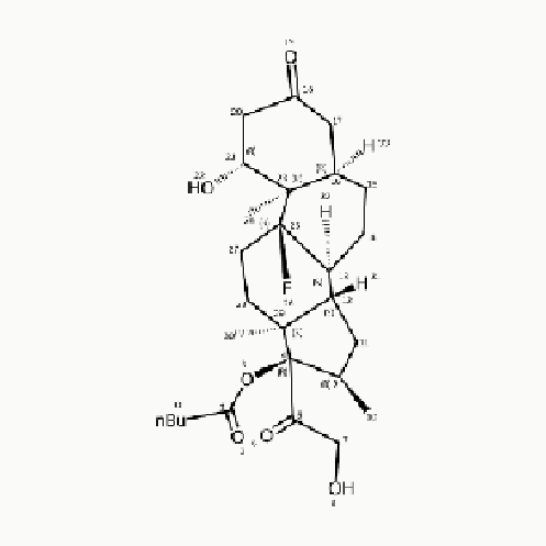 CCCCC(=O)O[C@]1(C(=O)CO)[C@H](C)C[C@H]2[C@@H]3CC[C@@H]4CC(=O)C[C@@H](O)[C@]4(C)[C@@]3(F)CC[C@@]21C